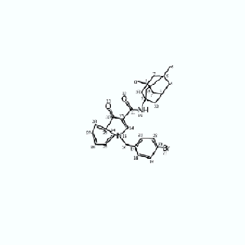 CC12CC3CC(C)(C1)CC(NC(=O)c1cn(Cc4ccc(Br)cc4)c4ccccc4c1=O)(C3)C2